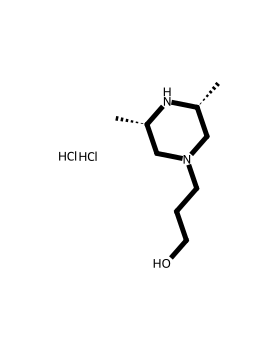 C[C@@H]1CN(CCCO)C[C@H](C)N1.Cl.Cl